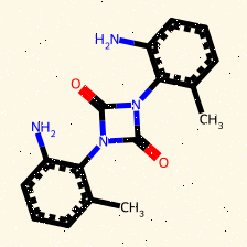 Cc1cccc(N)c1N1C(=O)N(c2c(C)cccc2N)C1=O